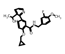 COc1ccc(CNC(=O)c2cc(-c3ncccc3C(C)O)ccc2OCC2CC2)cc1F